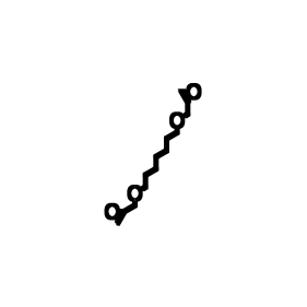 C(CCCOCC1CO1)CCCOCC1CO1